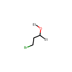 CCOC(CC)CCBr